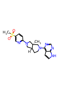 C[C@@]12CN(c3ccc(S(C)(=O)=O)cn3)C[C@H]1CCN(c1ncnc3[nH]ccc13)C2